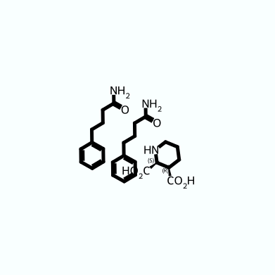 NC(=O)CCCc1ccccc1.NC(=O)CCCc1ccccc1.O=C(O)[C@H]1NCCC[C@H]1C(=O)O